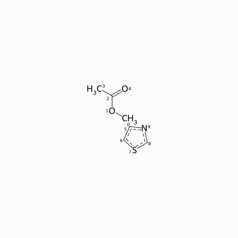 COC(C)=O.c1cscn1